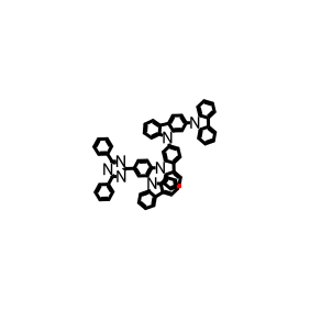 c1ccc(-c2nc(-c3ccccc3)nc(-c3ccc(-n4c5ccccc5c5ccc(-n6c7ccccc7c7ccc(-n8c9ccccc9c9ccccc98)cc76)cc54)c(-n4c5ccccc5c5ccccc54)c3)n2)cc1